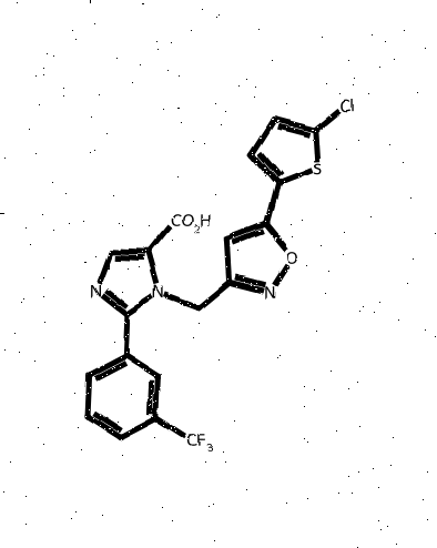 O=C(O)c1cnc(-c2cccc(C(F)(F)F)c2)n1Cc1cc(-c2ccc(Cl)s2)on1